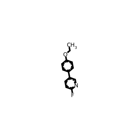 CCOc1ccc(-c2ccc(F)nc2)cc1